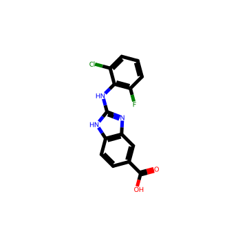 O=C(O)c1ccc2[nH]c(Nc3c(F)cccc3Cl)nc2c1